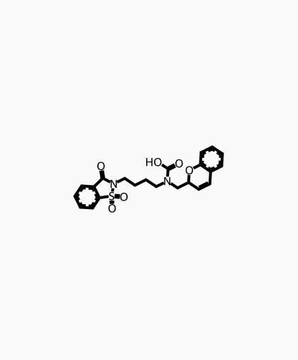 O=C(O)N(CCCCN1C(=O)c2ccccc2S1(=O)=O)CC1C=Cc2ccccc2O1